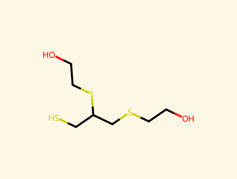 OCCSCC(CS)SCCO